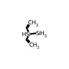 C=C[SiH]([SiH3])C=C